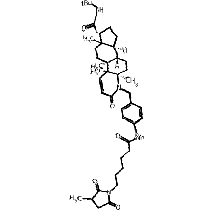 CC1CC(=O)N(CCCCCC(=O)Nc2ccc(CN3C(=O)C=C[C@]4(C)[C@@]5(C)CC[C@]6(C)[C@@H](C(=O)NC(C)(C)C)CC[C@H]6[C@@H]5CC[C@@]34C)cc2)C1=O